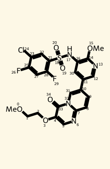 COCCOc1cnc2ccc(-c3cnc(OC)c(NS(=O)(=O)c4cc(Cl)c(F)cc4F)c3)cn2c1=O